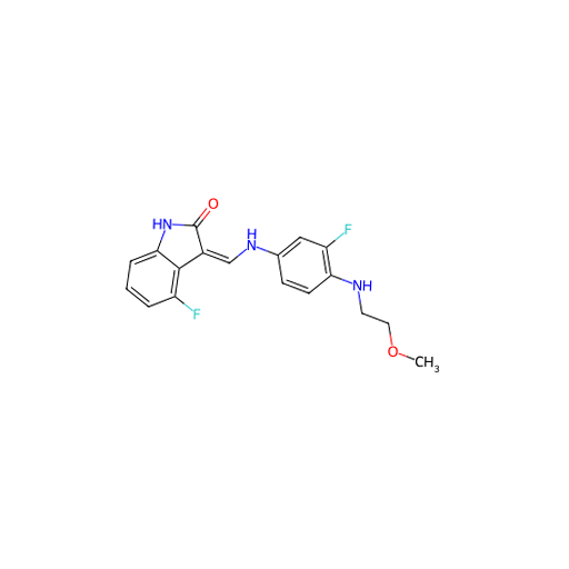 COCCNc1ccc(NC=C2C(=O)Nc3cccc(F)c32)cc1F